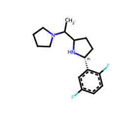 [CH2]C(C1CC[C@H](c2cc(F)ccc2F)N1)N1CCCC1